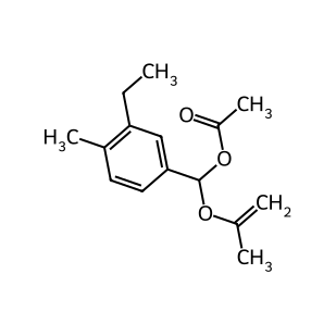 C=C(C)OC(OC(C)=O)c1ccc(C)c(CC)c1